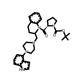 CC(C)(C)OC(=O)N1CCC[C@@H]1C(=O)N1c2ccccc2CCC1CN1CCN(c2cccc3[nH]ccc23)CC1